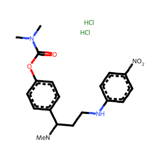 CNC(CCNc1ccc([N+](=O)[O-])cc1)c1ccc(OC(=O)N(C)C)cc1.Cl.Cl